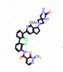 COc1nc(-c2cccc(-c3cccc(NC(=O)c4ccnn(C)c4=O)c3Cl)c2Cl)cc2c1[C@@H](N1CC3(CNC(=O)N3)C1)CC2